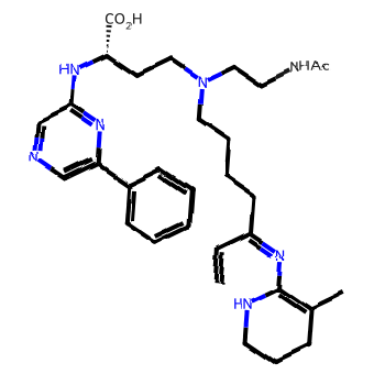 C=C/C(CCCCN(CCNC(C)=O)CC[C@H](Nc1cncc(-c2ccccc2)n1)C(=O)O)=N\C1=C(C)CCCN1